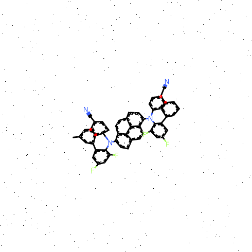 Cc1cccc(-c2cc(F)cc(F)c2N(c2ccc(C#N)cc2)c2ccc3ccc4c(N(c5ccc(C#N)cc5)c5c(F)cc(F)cc5-c5cccc(C)c5)ccc5ccc2c3c54)c1